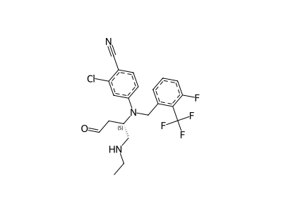 CCNC[C@H](CC=O)N(Cc1cccc(F)c1C(F)(F)F)c1ccc(C#N)c(Cl)c1